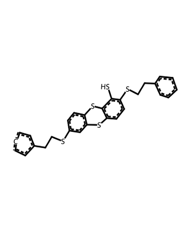 Sc1c(SCCc2ccccc2)ccc2c1Sc1ccc(SCCc3ccccc3)cc1S2